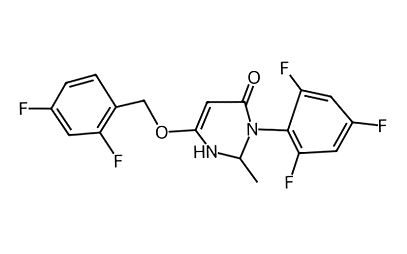 CC1NC(OCc2ccc(F)cc2F)=CC(=O)N1c1c(F)cc(F)cc1F